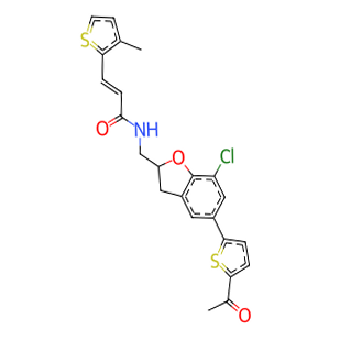 CC(=O)c1ccc(-c2cc(Cl)c3c(c2)CC(CNC(=O)C=Cc2sccc2C)O3)s1